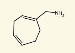 NCC1=CCC=CCC1